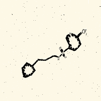 O=S(=O)(NCCCc1ccccc1)c1ccc(C(F)(F)F)nc1